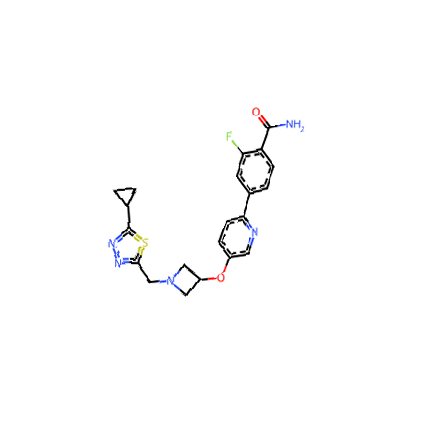 NC(=O)c1ccc(-c2ccc(OC3CN(Cc4nnc(C5CC5)s4)C3)cn2)cc1F